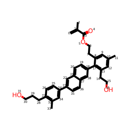 C=C(C)C(=O)OCCc1cc(C)cc(CCO)c1-c1ccc2cc(-c3ccc(CCCO)c(C)c3)ccc2c1